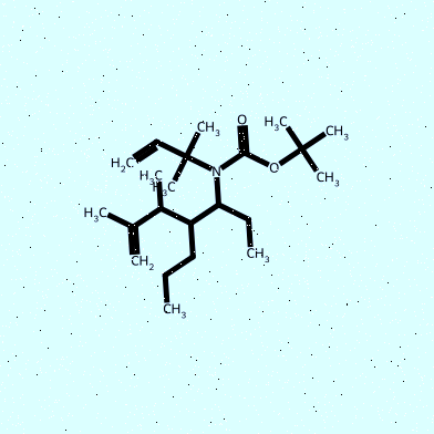 C=CC(C)(C)N(C(=O)OC(C)(C)C)C(CC)C(CCC)C(C)C(=C)C